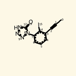 CC#Cc1cccc(-n2nn[nH]c2=O)c1I